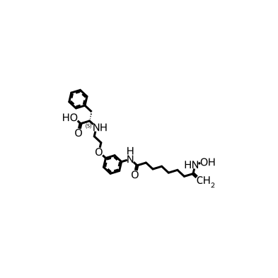 C=C(CCCCCCC(=O)Nc1cccc(OCCN[C@@H](Cc2ccccc2)C(=O)O)c1)NO